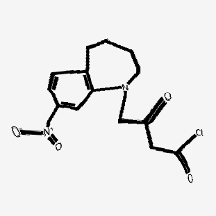 O=C(Cl)CC(=O)CN1CCCCc2ccc([N+](=O)[O-])cc21